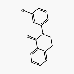 O=C1c2ccccc2CCN1c1cccc(Cl)c1